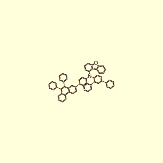 c1ccc(-c2ccc(N(c3ccc(-c4ccc5c(c4)c(-c4ccccc4)c(-c4ccccc4)c4ccccc45)cc3)c3cccc4oc5ccccc5c34)c(-c3ccccc3)c2)cc1